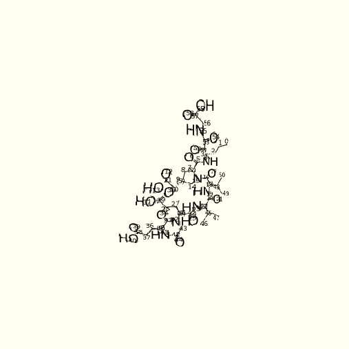 CCC[C@H](NC(=O)[C@@H]1C[C@@H](CC(=O)O)CN1C(=O)[C@@H](NC(=O)[C@@H](NC(=O)[C@H](CCC(=O)O)NC(=O)[C@H](CCC(=O)O)NC(C)=O)C(C)C)C(C)C)C(=O)C(=O)NCC(=O)O